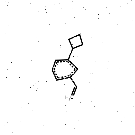 C=Cc1cccc(C2CCC2)c1